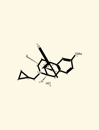 COc1ccc2c(c1)[C@]13CCN(CC4CC4)[C@H](C2)[C@@H]1C[C@H](C)C(=O)C3.Cl